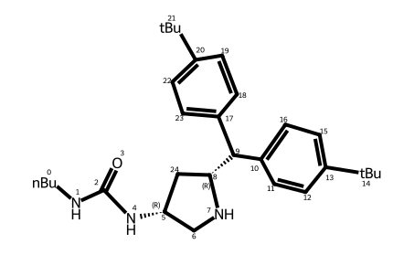 CCCCNC(=O)N[C@H]1CN[C@@H](C(c2ccc(C(C)(C)C)cc2)c2ccc(C(C)(C)C)cc2)C1